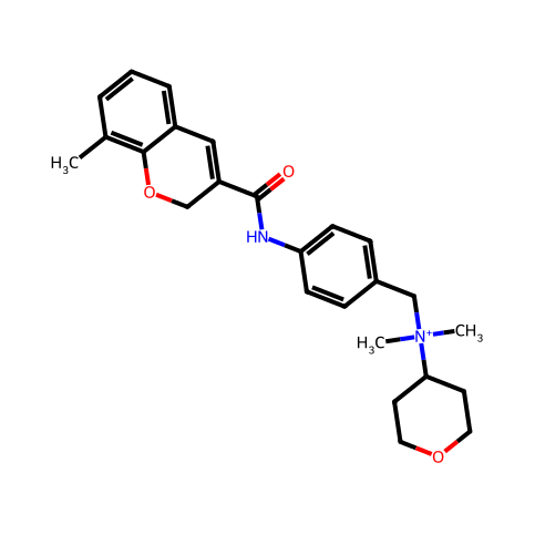 Cc1cccc2c1OCC(C(=O)Nc1ccc(C[N+](C)(C)C3CCOCC3)cc1)=C2